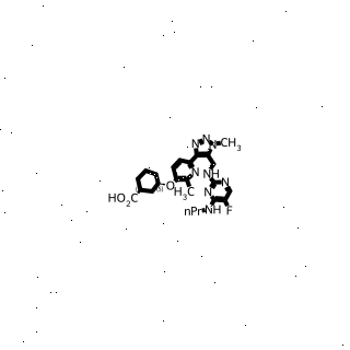 CCCNc1nc(NCc2c(-c3ccc(O[C@H]4CCC[C@H](C(=O)O)C4)c(C)n3)nnn2C)ncc1F